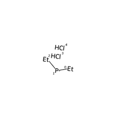 CC[P]CC.Cl.Cl